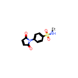 CCNS(=O)(=O)c1ccc(N2C(=O)C=CC2=O)cc1